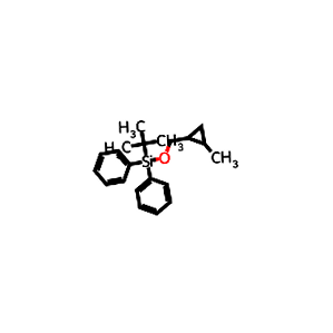 CC1CC1CO[Si](c1ccccc1)(c1ccccc1)C(C)(C)C